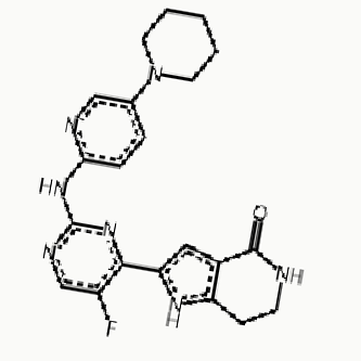 O=C1NCCc2[nH]c(-c3nc(Nc4ccc(N5CCCCC5)cn4)ncc3F)cc21